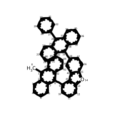 Cc1c2ccccc2c(-c2cccc3oc4ccc(-c5c6ccccc6c(-c6ccccc6)c6ccccc56)cc4c23)c2ccccc12